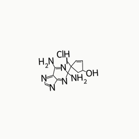 Cl.NC1=NC(N)(C2(I)C=CC(O)C2)N=C2N=CN=C12